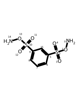 NOS(=O)(=O)c1cccc(S(=O)(=O)ON)c1